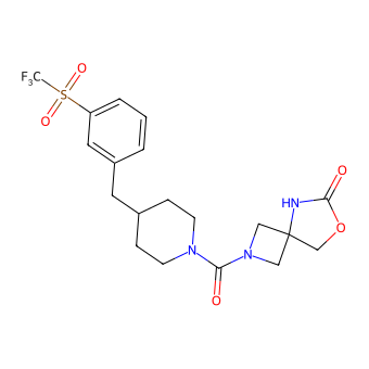 O=C1NC2(CO1)CN(C(=O)N1CCC(Cc3cccc(S(=O)(=O)C(F)(F)F)c3)CC1)C2